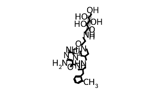 Cc1ccccc1CC(CNCC1CCN(C(=O)CCNC[C@H](O)[C@@H](O)[C@H](O)[C@H](O)CO)CC1)CNC(=O)c1nc(Cl)c(N)nc1N